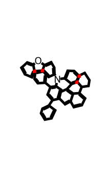 c1ccc(-c2ccc(N(c3ccc4oc5ccccc5c4c3)c3ccccc3-c3cccc4cccc(C5CCCCC5)c34)c(-c3ccccc3)c2)cc1